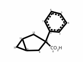 O=C(O)C1(c2ccccc2)CC2CC2C1